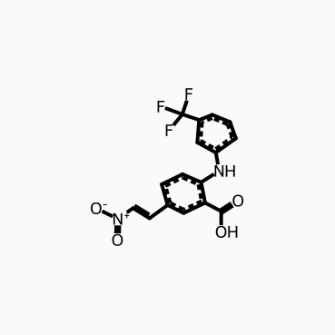 O=C(O)c1cc(C=C[N+](=O)[O-])ccc1Nc1cccc(C(F)(F)F)c1